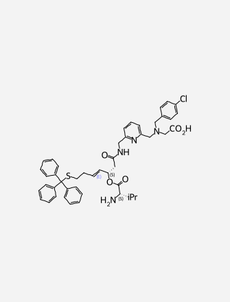 CC(C)[C@H](N)C(=O)O[C@H](/C=C/CCSC(c1ccccc1)(c1ccccc1)c1ccccc1)CC(=O)NCc1cccc(CN(CC(=O)O)Cc2ccc(Cl)cc2)n1